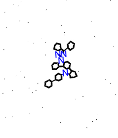 c1ccc(-c2ccc(-n3c4ccccc4c4ccc5c(c6ccccc6n5-c5nc(-c6ccccc6)c6ccccc6n5)c43)cc2)cc1